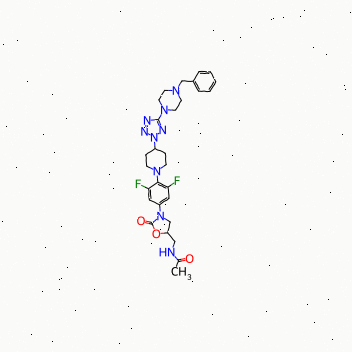 CC(=O)NCC1CN(c2cc(F)c(N3CCC(n4nnc(N5CCN(Cc6ccccc6)CC5)n4)CC3)c(F)c2)C(=O)O1